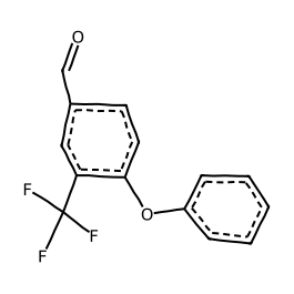 O=Cc1ccc(Oc2ccccc2)c(C(F)(F)F)c1